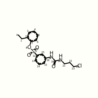 CCc1ccccc1OS(=O)(=O)c1cccc(NC(=O)NCCCCl)c1